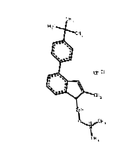 CC1=Cc2c(-c3ccc(C(C)(C)C)cc3)cccc2[CH]1[Zr+2][O][SiH](C)C.[Cl-].[Cl-]